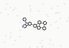 c1ccc(-n2c3ccc(-c4cccc(-c5cccc6c5-c5ccccc5-c5ccccc5-c5ccccc5-6)c4)cc3c3ccncc32)cc1